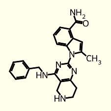 Cc1cc2c(C(N)=O)cccc2n1-c1nc2c(c(NCc3ccccc3)n1)CNCC2